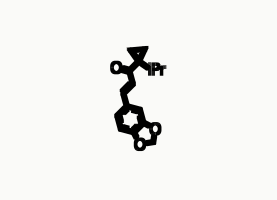 CC(C)C1(C(=O)C=Cc2ccc3c(c2)OCO3)CC1